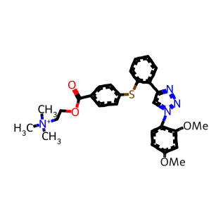 COc1ccc(-n2cc(-c3ccccc3Sc3ccc(C(=O)OCC[N+](C)(C)C)cc3)nn2)c(OC)c1